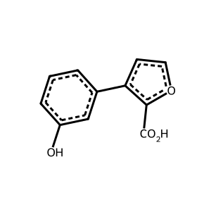 O=C(O)c1occc1-c1cccc(O)c1